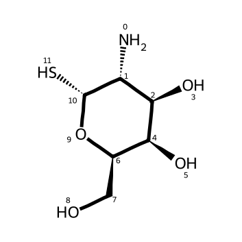 N[C@@H]1[C@@H](O)[C@@H](O)[C@@H](CO)O[C@@H]1S